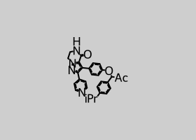 CC(=O)C(Oc1ccc(-c2c(-c3ccncc3)nn3c2C(=O)NCC3)cc1)c1ccc(C(C)C)cc1